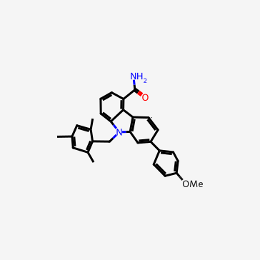 COc1ccc(-c2c[c]c3c4c(C(N)=O)cccc4n(Cc4c(C)cc(C)cc4C)c3c2)cc1